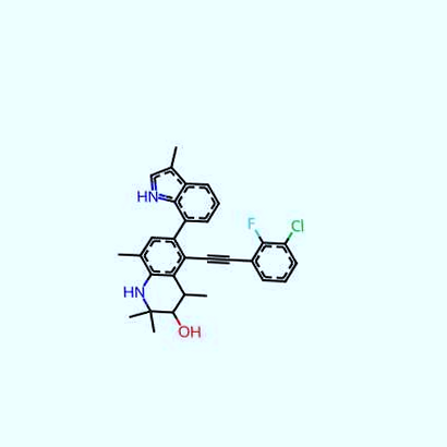 Cc1cc(-c2cccc3c(C)c[nH]c23)c(C#Cc2cccc(Cl)c2F)c2c1NC(C)(C)C(O)C2C